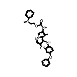 Cc1c(NC(=O)OCCN(C)c2ccccc2)cn2ncc(C#N)c(Nc3ccc(Oc4ccccc4)cc3)c12